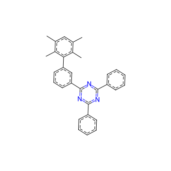 Cc1cc(C)c(C)c(-c2cccc(-c3nc(-c4ccccc4)nc(-c4ccccc4)n3)c2)c1C